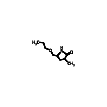 CCCOCC1CC(C)C(=O)N1